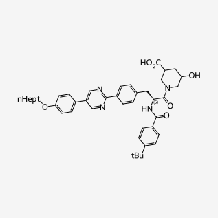 CCCCCCCOc1ccc(-c2cnc(-c3ccc(C[C@H](NC(=O)c4ccc(C(C)(C)C)cc4)C(=O)N4CC(O)CC(C(=O)O)C4)cc3)nc2)cc1